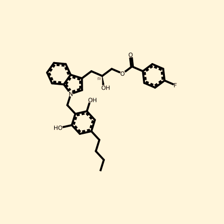 CCCCc1cc(O)c(Cn2cc(C[C@H](O)COC(=O)c3ccc(F)cc3)c3ccccc32)c(O)c1